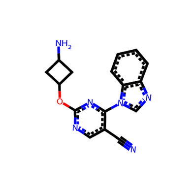 N#Cc1cnc(OC2CC(N)C2)nc1-n1cnc2ccccc21